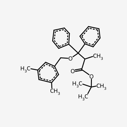 Cc1cc(C)cc(COC(c2ccccc2)(c2ccccc2)C(C)C(=O)OC(C)(C)C)c1